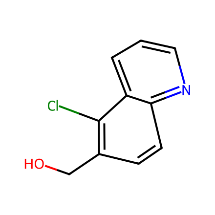 OCc1ccc2ncccc2c1Cl